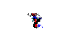 CCC(O)(CC)Cn1nnc2cc(-c3ccc(CN4[C@@H]5CC[C@H]4[C@@H](N)C5)cc3-c3ccc(C#N)c(F)c3)c(F)c(F)c21